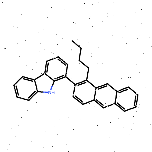 CCCCc1c(-c2cccc3c2[nH]c2ccccc23)ccc2cc3ccccc3cc12